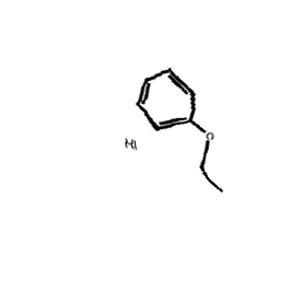 CCOc1ccccc1.I